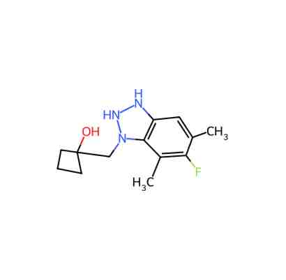 Cc1cc2c(c(C)c1F)N(CC1(O)CCC1)NN2